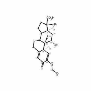 CCC[C@]1(C(=O)O)CCC2C3CCC4=CC(=O)C(OC[O])=C[C@]4(C)[C@@]3(F)[C@@H](O)C[C@@]21C